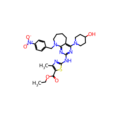 CCOC(=O)c1sc(Nc2nc(N3CCC(O)CC3)c3c(n2)N(Cc2ccc([N+](=O)[O-])cc2)CCCC3)nc1C